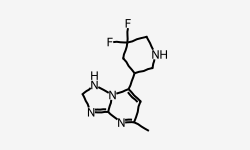 CC1=NC2=NCNN2C(C2CNCC(F)(F)C2)=C1